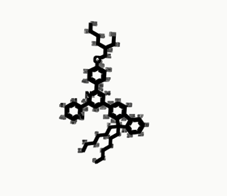 CCCCCCC1(CCCCCC)c2ccccc2-c2ccc(-c3cc(-c4ccc(OCC(CC)CCCC)cc4)nc(-c4ccccn4)c3)cc21